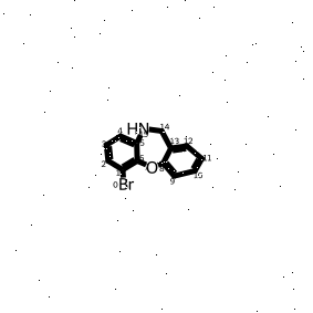 Brc1cccc2c1Oc1ccccc1CN2